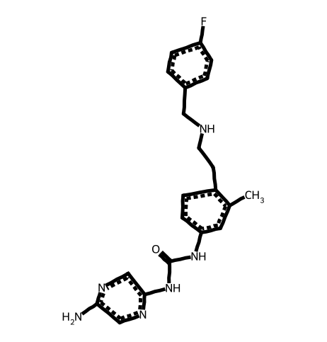 Cc1cc(NC(=O)Nc2cnc(N)cn2)ccc1CCNCc1ccc(F)cc1